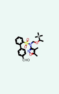 Cc1onc(N(COC(C)[Si](C)(C)C)S(=O)(=O)c2ccccc2-c2ccc(C=O)cc2)c1C